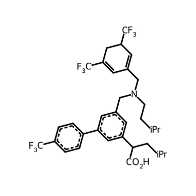 CC(C)CCN(CC1=CC(C(F)(F)F)CC(C(F)(F)F)=C1)Cc1cc(-c2ccc(C(F)(F)F)cc2)cc(C(CC(C)C)C(=O)O)c1